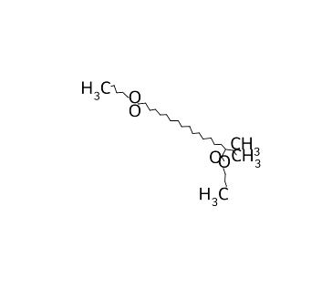 CCCCCOC(=O)CCCCCCCCCCCCCCCC(C(=O)OCCCCC)C(C)C